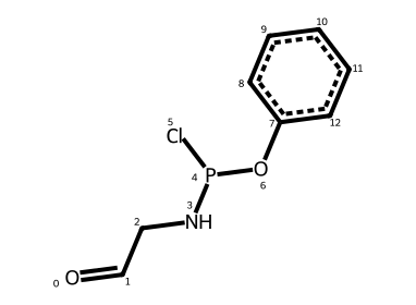 O=CCNP(Cl)Oc1ccccc1